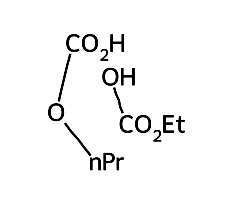 CCCOC(=O)O.CCOC(=O)O